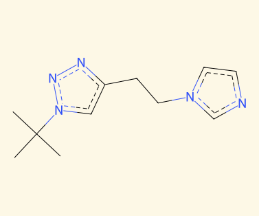 CC(C)(C)n1cc(CCn2ccnc2)nn1